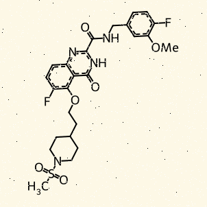 COc1cc(CNC(=O)c2nc3ccc(F)c(OCCC4CCN(S(C)(=O)=O)CC4)c3c(=O)[nH]2)ccc1F